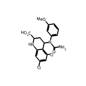 COc1cccc(N(C(N)=O)C2CC(C(=O)O)Nc3cc(Cl)cc(Cl)c32)c1